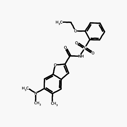 CCOc1ccccc1S(=O)(=O)NC(=O)c1cc2cc(C)c(N(C)C)cc2o1